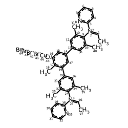 CC=[N+](c1ccccn1)c1c(C)cc(-c2ccc(C)c(-c3cc(C)c([N+](=CC)c4ccccn4)c(C)c3)c2)cc1C.[Br-].[Br-].[Br-].[Br-].[Cu].[Cu]